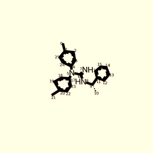 Cc1ccc(N(C(=N)N[C@@H](C)c2ccccc2)c2ccc(C)cc2)cc1